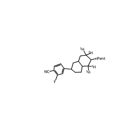 [2H]C1([2H])CC2CC(c3ccc(C#N)c(F)c3)CCC2C([2H])([2H])C1CCCCC